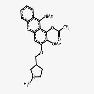 CNc1c2ccccc2nc2cc(OCC3CCN(C)C3)c(OC)c(OC(=O)C(F)(F)F)c12